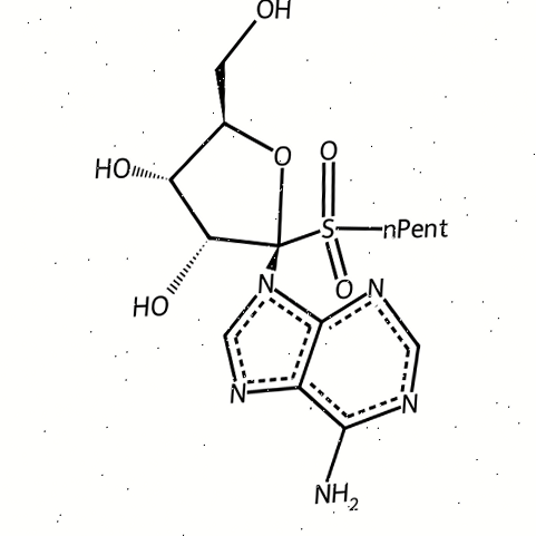 CCCCCS(=O)(=O)[C@@]1(n2cnc3c(N)ncnc32)O[C@H](CO)[C@@H](O)[C@H]1O